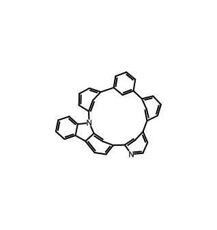 c1cc2cc(c1)-c1cccc(c1)-n1c3ccccc3c3ccc(cc31)-c1cc(ccn1)-c1cccc-2c1